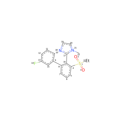 CCS(=O)(=O)c1cccc(-c2cccc(F)c2)c1-c1nccn1C